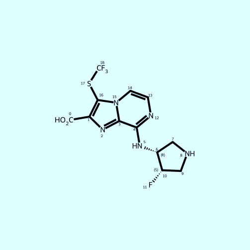 O=C(O)c1nc2c(N[C@@H]3CNC[C@@H]3F)nccn2c1SC(F)(F)F